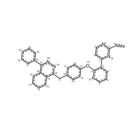 CNc1nccc(-c2cccnc2Oc2ccc(Cc3nnc(-c4ccccc4)c4ccccc34)cc2)n1